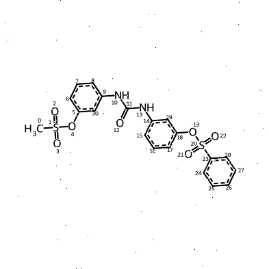 CS(=O)(=O)Oc1cccc(NC(=O)Nc2cccc(OS(=O)(=O)c3ccccc3)c2)c1